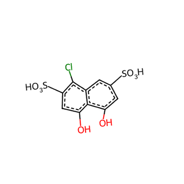 O=S(=O)(O)c1cc(O)c2c(O)cc(S(=O)(=O)O)c(Cl)c2c1